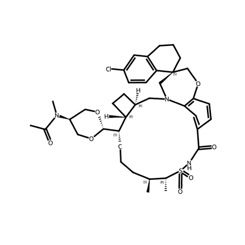 CC(=O)N(C)[C@H]1CO[C@H]([C@H]2CCC[C@H](C)[C@@H](C)S(=O)(=O)NC(=O)c3ccc4c(c3)N(C[C@@H]3CC[C@H]32)C[C@@]2(CCCc3cc(Cl)ccc32)CO4)OC1